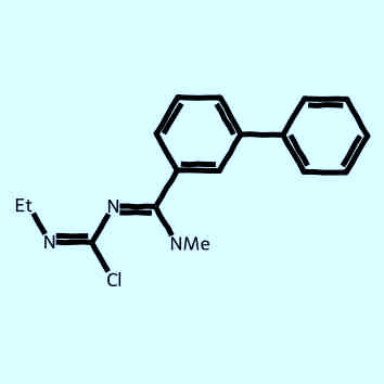 CC/N=C(Cl)\N=C(/NC)c1cccc(-c2ccccc2)c1